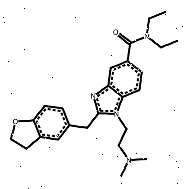 CCN(CC)C(=O)c1ccc2c(c1)nc(Cc1ccc3c(c1)CCO3)n2CCN(C)C